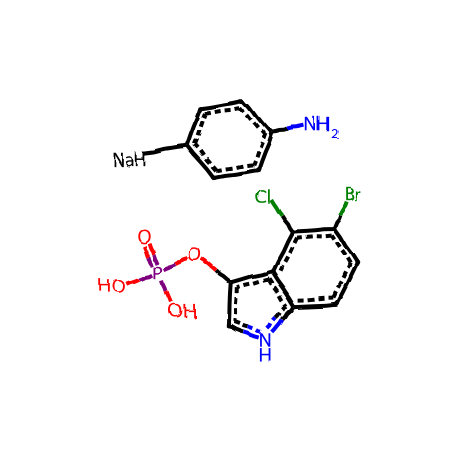 Cc1ccc(N)cc1.O=P(O)(O)Oc1c[nH]c2ccc(Br)c(Cl)c12.[NaH]